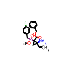 C=CC1(N)CC1(C(=O)OCc1ccccc1)P(=O)(Cc1ccc(F)cc1)OCC